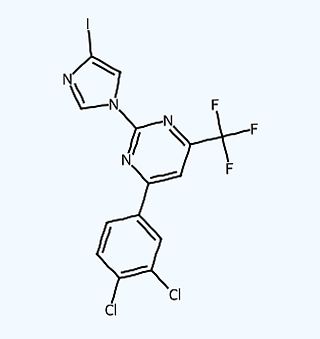 FC(F)(F)c1cc(-c2ccc(Cl)c(Cl)c2)nc(-n2cnc(I)c2)n1